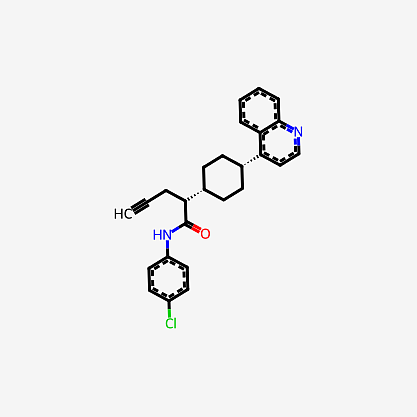 C#CCC(C(=O)Nc1ccc(Cl)cc1)[C@H]1CC[C@@H](c2ccnc3ccccc32)CC1